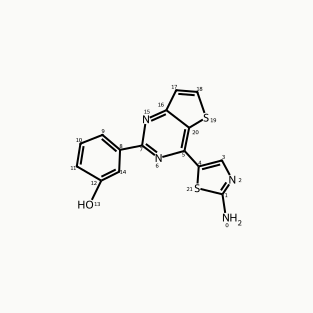 Nc1ncc(-c2nc(-c3cccc(O)c3)nc3ccsc23)s1